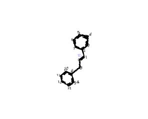 C(=C\c1ccccc1)/Cc1ccccc1